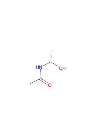 [CH2][C@H](O)NC(C)=O